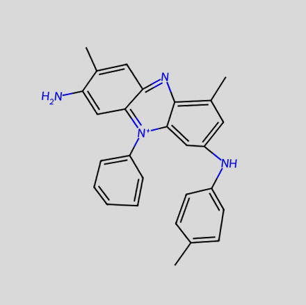 Cc1ccc(Nc2cc(C)c3nc4cc(C)c(N)cc4[n+](-c4ccccc4)c3c2)cc1